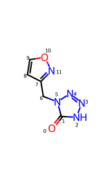 O=c1[nH]nnn1Cc1ccon1